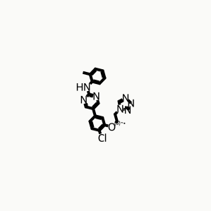 Cc1ccccc1Nc1ncc(-c2ccc(Cl)c(O[C@@H](C)Cn3cnnn3)c2)cn1